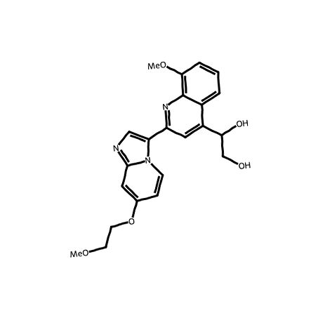 COCCOc1ccn2c(-c3cc(C(O)CO)c4cccc(OC)c4n3)cnc2c1